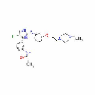 C=CC(=O)Nc1cccc(-c2nc(Nc3cccc(OCCCN4CCN(CC)CC4)c3)ncc2Cl)c1